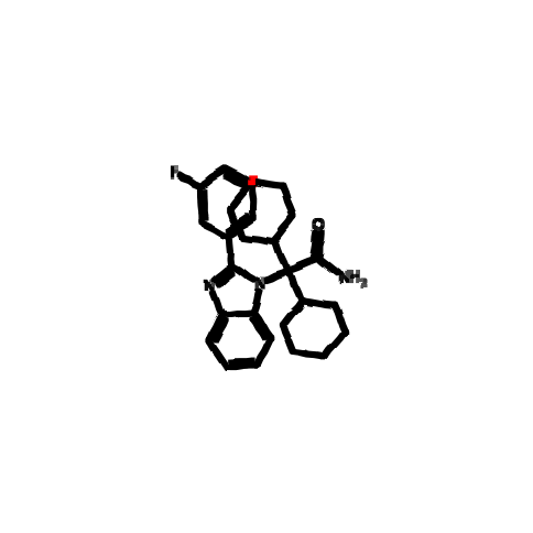 NC(=O)C(C1CCCCC1)(C1CCCCC1)n1c(-c2cccc(F)c2)nc2ccccc21